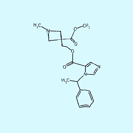 COC(=O)C1(COC(=O)c2cncn2C(C)c2ccccc2)CN(C)C1